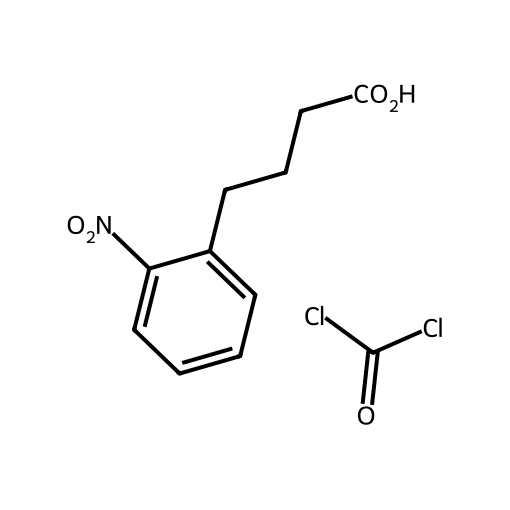 O=C(Cl)Cl.O=C(O)CCCc1ccccc1[N+](=O)[O-]